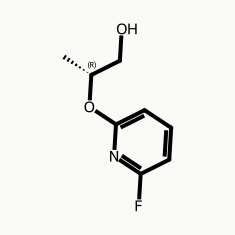 C[C@H](CO)Oc1cccc(F)n1